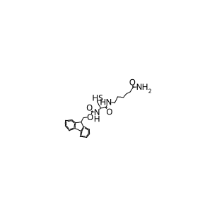 NC(=O)CCCCCNC(=O)C(CS)NC(=O)OCC1c2ccccc2-c2ccccc21